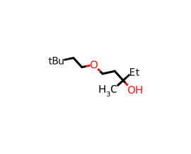 CCC(C)(O)CCOCCC(C)(C)C